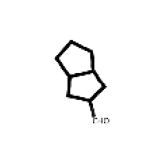 O=CC1CC2CCCC2C1